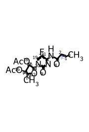 C/C=C/C(=O)Nc1nc(=O)n([C@@H]2O[C@H](C)[C@@H](OC(C)=O)[C@H]2OC(C)=O)cc1F